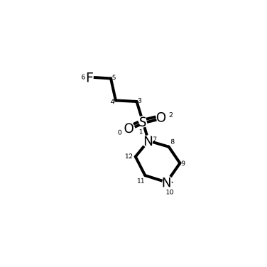 O=S(=O)(CCCF)N1CC[N]CC1